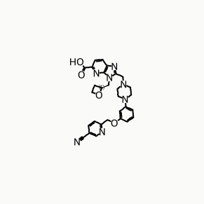 N#Cc1ccc(COc2cccc(N3CCN(Cc4nc5ccc(C(=O)O)nc5n4C[C@@H]4CCO4)CC3)c2)nc1